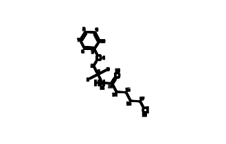 CC(C)(COc1ccccc1)NC(=O)CCCCCl